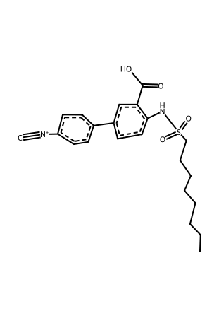 [C-]#[N+]c1ccc(-c2ccc(NS(=O)(=O)CCCCCCCC)c(C(=O)O)c2)cc1